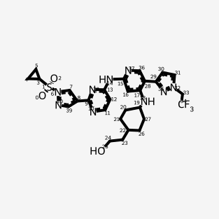 O=S(=O)(C1CC1)n1cc(-c2nccc(Nc3cc(NC4CCC(CCO)CC4)c(-c4ccn(CC(F)(F)F)n4)cn3)n2)cn1